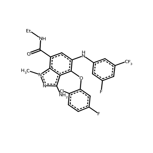 CCNC(=O)c1cc(Nc2cc(F)cc(C(F)(F)F)c2)c(Oc2cc(F)ccc2Cl)c2c(N)nn(C)c12